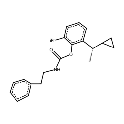 CC(C)c1cccc([C@@H](C)C2CC2)c1OC(=O)NCCc1ccccc1